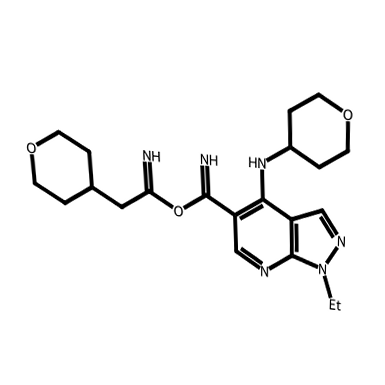 CCn1ncc2c(NC3CCOCC3)c(C(=N)OC(=N)CC3CCOCC3)cnc21